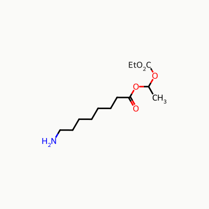 CCOC(=O)OC(C)OC(=O)CCCCCCCN